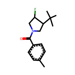 Cc1ccc(C(=O)N2CC(F)C(C(C)(C)C)C2)cc1